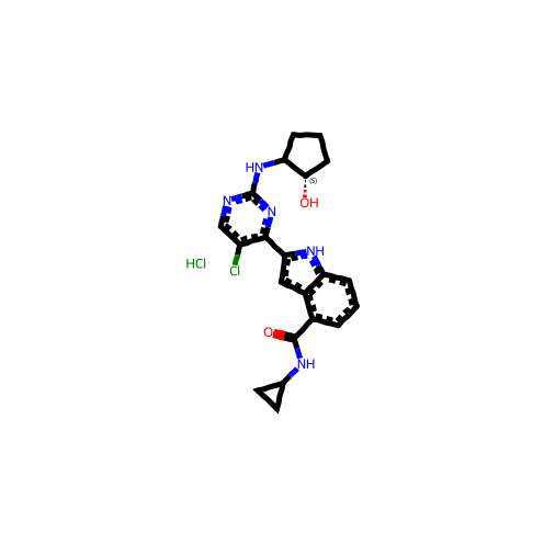 Cl.O=C(NC1CC1)c1cccc2[nH]c(-c3nc(NC4CCC[C@@H]4O)ncc3Cl)cc12